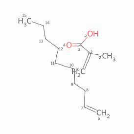 C=C(C)C(=O)O.C=CCCCCCCCC